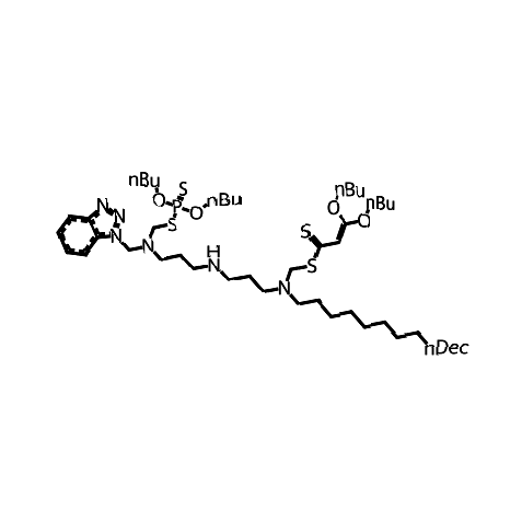 CCCCCCCCCCCCCCCCCCN(CCCNCCCN(CSP(=S)(OCCCC)OCCCC)Cn1nnc2ccccc21)CSC(=S)C=C(OCCCC)OCCCC